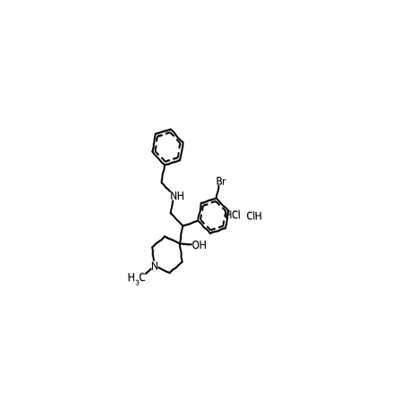 CN1CCC(O)(C(CNCc2ccccc2)c2cccc(Br)c2)CC1.Cl.Cl